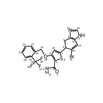 NC(=O)c1sc(C2Cc3nc[nH]c3C=C2Br)cc1OCc1ccccc1C(F)(F)F